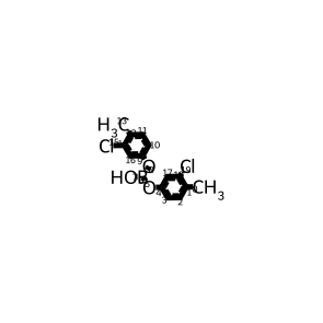 Cc1ccc(OB(O)Oc2ccc(C)c(Cl)c2)cc1Cl